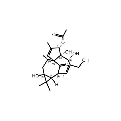 CC(=O)O[C@H]1C(C)=C[C@]23C(=O)[C@@H](C=C(CO)[C@@H](O)[C@]12O)[C@@H]1C(C)(C)[C@]1(O)C[C@H]3C